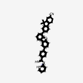 CC1(C)C2=C(CCC(C#N)=C2)c2ccc(-c3cccc4c3oc3ccc(-c5ccc(C(=N)/N=c6/cccc[nH]6)cc5)cc34)cc21